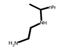 CCCC(C)NCCN